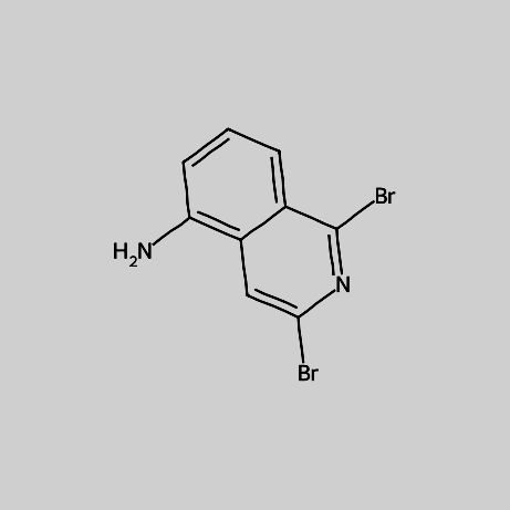 Nc1cccc2c(Br)nc(Br)cc12